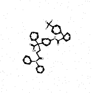 O=C(Nc1ccc(C(CCC(=O)N(c2ccccc2)c2ccccc2)(C(=O)O)c2ccccc2)cc1)c1ccccc1-c1ccc(C(F)(F)F)cc1